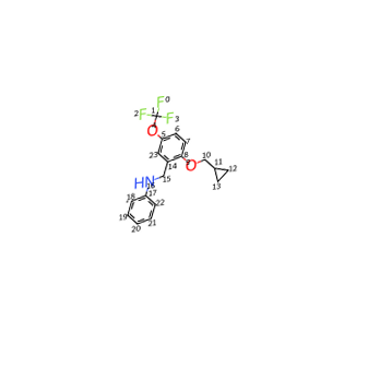 FC(F)(F)Oc1ccc(OCC2CC2)c(CNc2[c]cccc2)c1